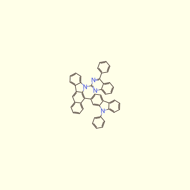 c1ccc(-c2nc(-n3c4ccccc4c4cc5ccccc5c(-c5ccc6c7ccccc7n(-c7ccccc7)c6c5)c43)nc3ccccc23)cc1